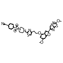 COc1cc(OCCc2csc(N3CCN(S(=O)(=O)c4ccc(C#N)cc4)CC3)n2)c2cc(-c3cn4nc(OC)sc4n3)oc2c1